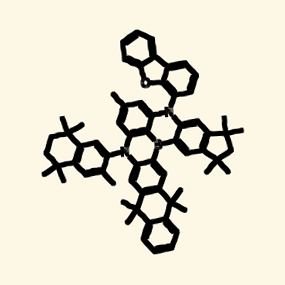 Cc1cc2c3c(c1)N(c1cccc4c1oc1ccccc14)c1cc4c(cc1B3c1cc3c(cc1N2c1cc2c(cc1C)C(C)(C)CCC2(C)C)C(C)(C)c1ccccc1C3(C)C)C(C)(C)CC4(C)C